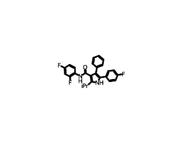 CC(C)c1[nH]c(-c2ccc(F)cc2)c(-c2ccccc2)c1C(=O)Nc1ccc(F)cc1F